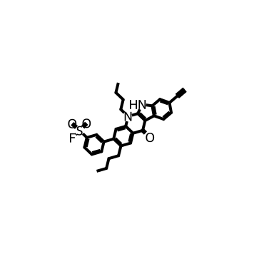 C#Cc1ccc2c(c1)[nH]c1c2c(=O)c2cc(CCCC)c(-c3cccc(S(=O)(=O)F)c3)cc2n1CCCC